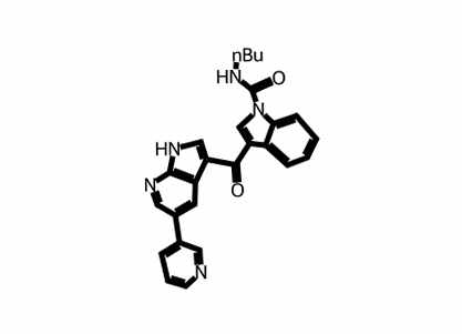 CCCCNC(=O)n1cc(C(=O)c2c[nH]c3ncc(-c4cccnc4)cc23)c2ccccc21